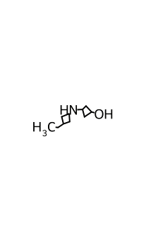 CCC1CC(NC2CC(O)C2)C1